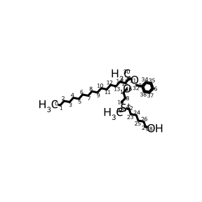 CCCCCCCCCCCCCCCC(OCCC[S+](C)CCCCCCO)C(C)OCc1ccccc1